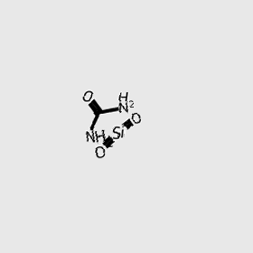 NC(N)=O.O=[Si]=O